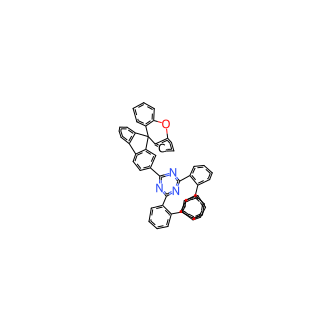 c1ccc(-c2ccccc2-c2nc(-c3ccc4c(c3)C3(c5ccccc5Oc5ccccc53)c3ccccc3-4)nc(-c3ccccc3-c3ccccc3)n2)cc1